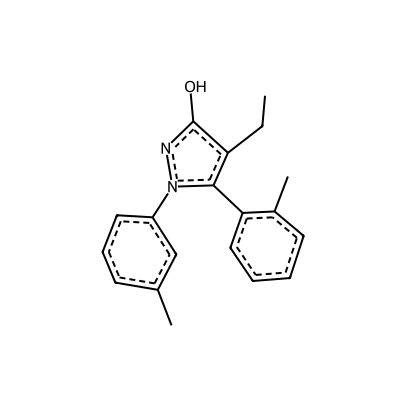 CCc1c(O)nn(-c2cccc(C)c2)c1-c1ccccc1C